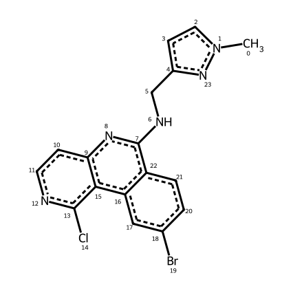 Cn1ccc(CNc2nc3ccnc(Cl)c3c3cc(Br)ccc23)n1